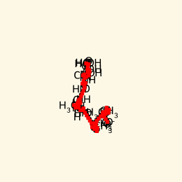 CC1=NNC(c2ccc(CNC(=O)CCCCCCCN3/C(=C/C=C/C=C/C=C/C4=[N+](CCCCS(=O)(=O)[O-])c5ccc6ccccc6c5C4(C)C)C(C)(C)c4c3ccc3ccccc43)cc2)=C2[C@H]3CC(C(=O)NCCCCCCNC(=O)c4ccc(CNc5nc(Cl)nc6c5ncn6[C@@H]5O[C@H](COP(=O)(O)CP(=O)(O)O)[C@@H](O)[C@H]5O)cc4)[C@H](C3)[C@@H]12